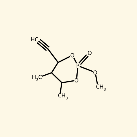 C#CC1OP(=O)(OC)OC(C)C1C